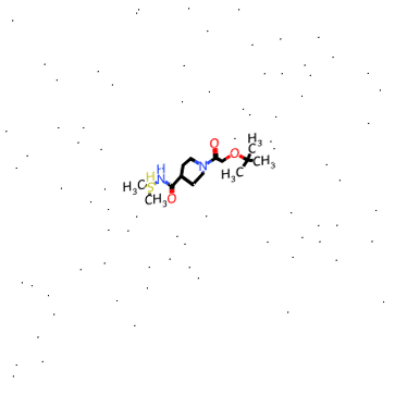 C[SH](C)NC(=O)C1CCN(C(=O)COC(C)(C)C)CC1